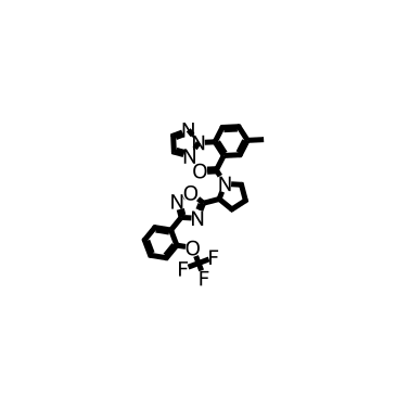 Cc1ccc(-n2nccn2)c(C(=O)N2CCCC2c2nc(-c3ccccc3OC(F)(F)F)no2)c1